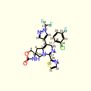 O=C1N[C@]2(CO1)CC1=C(c3cnn(C(F)F)c3)[C@H](c3ccc(F)cc3Cl)N=C(c3nccs3)N1C2